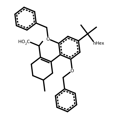 CCCCCCC(C)(C)c1cc(OCc2ccccc2)c(C2=C(C(C)C(=O)O)CCC(C)C2)c(OCc2ccccc2)c1